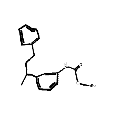 CC([CH]Cc1ccccc1)c1cccc(NC(=O)OC(C)(C)C)c1